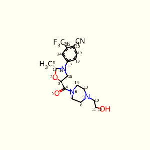 C[C@H]1O[C@H](C(=O)N2CCN(CCO)CC2)CN1c1ccc(C#N)c(C(F)(F)F)c1